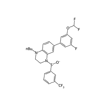 CCCCN1CCN([S+]([O-])c2cccc(C(F)(F)F)c2)c2cc(-c3cc(F)cc(OC(F)F)c3)ccc21